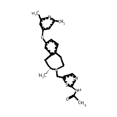 CC(=O)Nc1ncc(CN2CCc3ccc(Oc4cc(C)nc(C)c4)cc3C[C@H]2C)s1